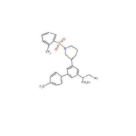 CCOC(=O)C(CC(C)C)c1cc(-c2ccc(C(F)(F)F)cc2)cc(C2CCCN(S(=O)(=O)c3ccccc3C(F)(F)F)C2)c1